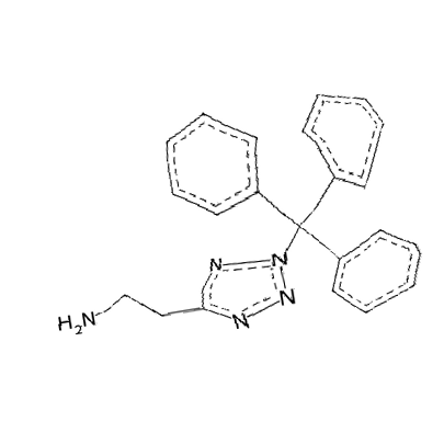 NCCc1nnn(C(c2ccccc2)(c2ccccc2)c2ccccc2)n1